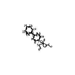 CCO[Si](C)(CC)c1ccc(-c2ccccn2)nc1